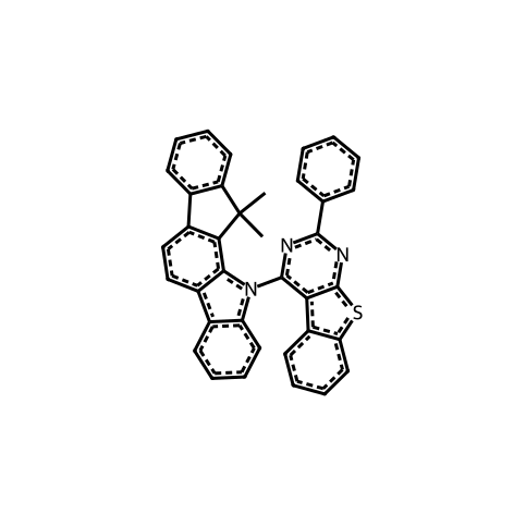 CC1(C)c2ccccc2-c2ccc3c4ccccc4n(-c4nc(-c5ccccc5)nc5sc6ccccc6c45)c3c21